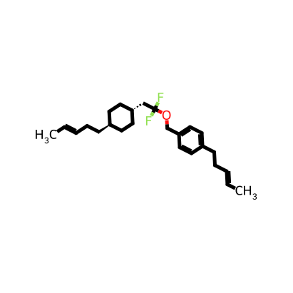 CC=CCCc1ccc(COC(F)(F)C[C@H]2CC[C@H](CCC=CC)CC2)cc1